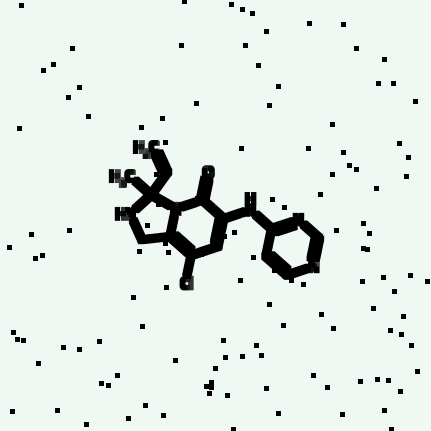 C=CC1(C)NCc2c(Cl)cc(Nc3ccncn3)c(=O)n21